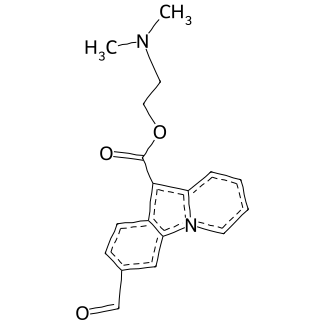 CN(C)CCOC(=O)c1c2ccc(C=O)cc2n2ccccc12